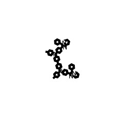 Cc1ccc(N(C2=CCC(c3nc4ccccn4c3-c3ccccc3)C=C2)c2ccc(-c3ccc(N(c4ccc(C)cc4)c4ccc(-c5nc6ccccn6c5-c5ccccc5)cc4)cc3)cc2)cc1